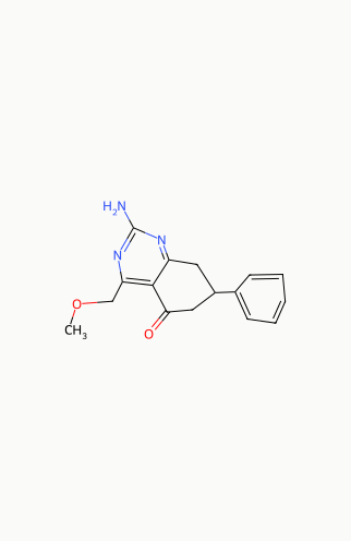 COCc1nc(N)nc2c1C(=O)CC(c1ccccc1)C2